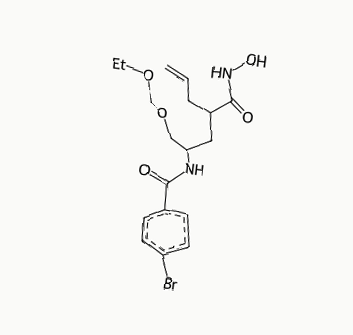 C=CCC(CC(COCOCC)NC(=O)c1ccc(Br)cc1)C(=O)NO